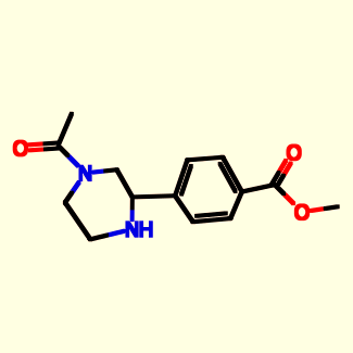 COC(=O)c1ccc(C2CN(C(C)=O)CCN2)cc1